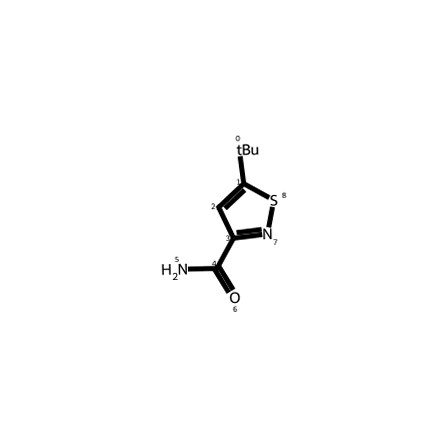 CC(C)(C)c1cc(C(N)=O)ns1